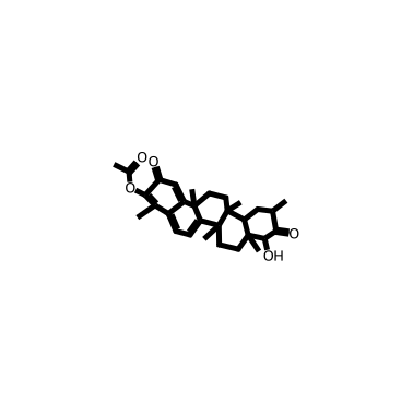 CC(=O)OC1=C(C)C2=CC=C3C(C)(CCC4(C)C5CC(C)C(=O)C(O)C5(C)CCC34C)C2=CC1=O